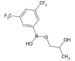 CC(O)COB(O)c1cc(C(F)(F)F)cc(C(F)(F)F)c1